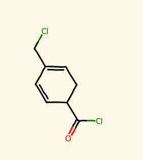 O=C(Cl)C1C=CC(CCl)=CC1